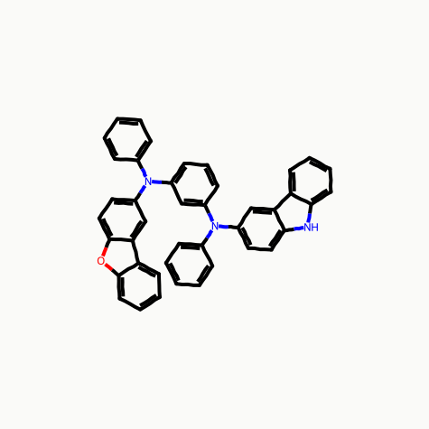 c1ccc(N(c2cccc(N(c3ccccc3)c3ccc4oc5ccccc5c4c3)c2)c2ccc3[nH]c4ccccc4c3c2)cc1